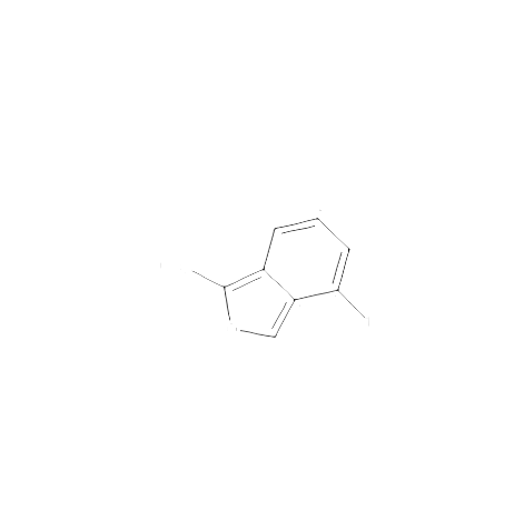 Cc1occ2c(I)cccc12